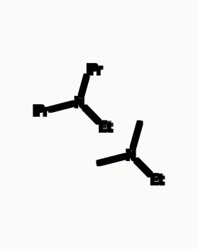 CCN(C(C)C)C(C)C.CCN(C)C